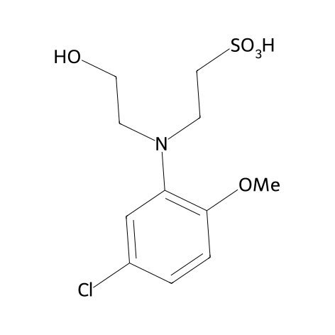 COc1ccc(Cl)cc1N(CCO)CCS(=O)(=O)O